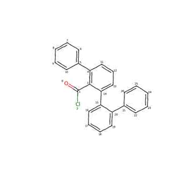 O=C(Cl)c1c(-c2ccccc2)cccc1-c1ccccc1-c1ccccc1